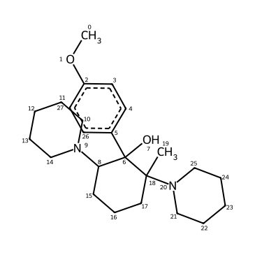 COc1ccc(C2(O)C(N3CCCCC3)CCCC2(C)N2CCCCC2)cc1